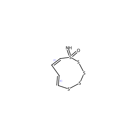 N=S1(=O)/C=C\C=C\SSSS1